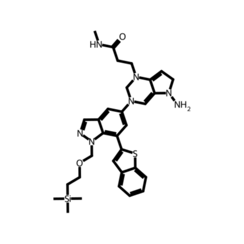 CNC(=O)CCN1CN(c2cc(-c3cc4ccccc4s3)c3c(cnn3COCC[Si](C)(C)C)c2)C=C2C1=CCN2N